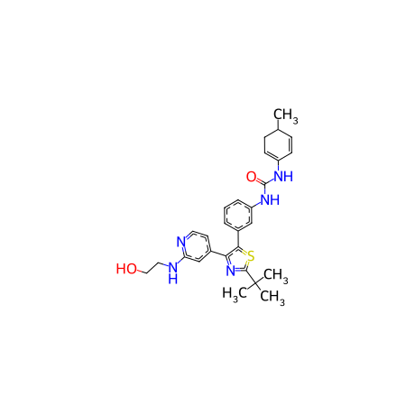 CC1C=CC(NC(=O)Nc2cccc(-c3sc(C(C)(C)C)nc3-c3ccnc(NCCO)c3)c2)=CC1